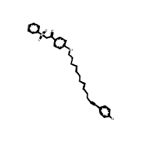 O=C(CS(=O)(=O)c1ccccc1)c1ccc(NCCCCCCCCCCCC#Cc2ccc(Cl)cc2)cc1